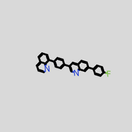 Fc1ccc(-c2ccc3cc(-c4ccc(-c5cccc6cccnc56)cc4)cnc3c2)cc1